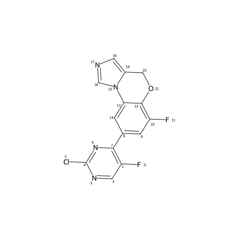 Fc1cnc(Cl)nc1-c1cc(F)c2c(c1)-n1cncc1CO2